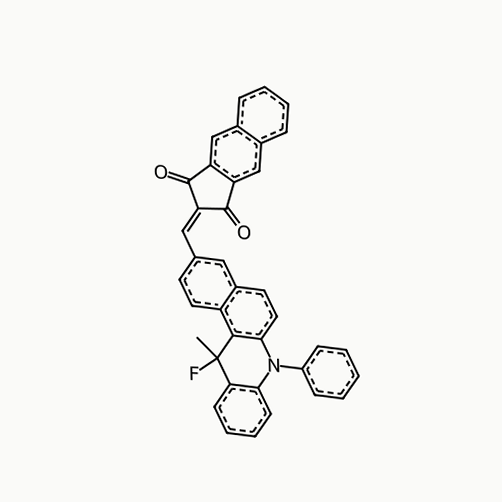 CC1(F)c2ccccc2N(c2ccccc2)c2ccc3cc(C=C4C(=O)c5cc6ccccc6cc5C4=O)ccc3c21